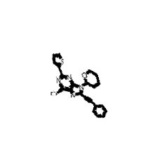 Clc1nc(-c2cccs2)nc2c1nc(C#Cc1ccccc1)n2C1CCCCO1